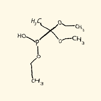 CCOP(O)C(C)(OC)OC